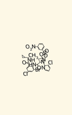 CC(NC(=O)c1cc(Cl)cc(Br)c1NC(=O)C1CC(OS(=O)(=O)c2cccc([N+](=O)[O-])c2)=NN1c1ncccc1Cl)C1CC1